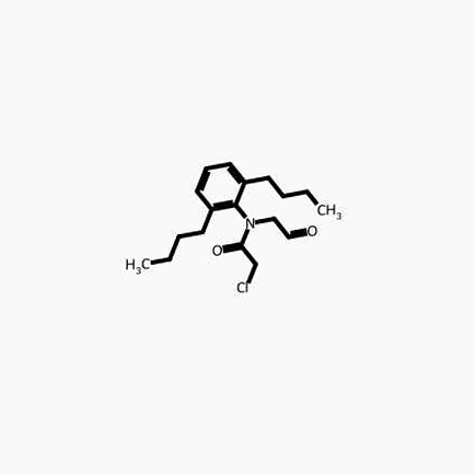 CCCCc1cccc(CCCC)c1N(CC=O)C(=O)CCl